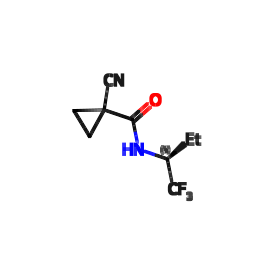 CC[C@H](NC(=O)C1(C#N)CC1)C(F)(F)F